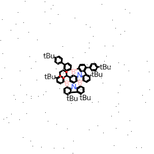 CC(C)(C)c1ccc(B2c3c(C4CCCCC4)c4c5c6c3-n3c7c2ccc(C(C)(C)C)c7c2c(C(C)(C)C)ccc(c23)B6c2ccc(C(C)(C)C)c3c6c(-c7ccc(C(C)(C)C)cc7)ccc(c6n-5c23)B4c2ccc(-c3ccc(C(C)(C)C)cc3)cc2)cc1